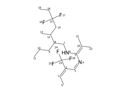 C/C=C(\C=N/C(NCC(CCC)C(C)CC(F)(F)CC)=C(C)C)C(F)(F)F